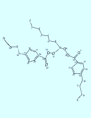 [CH2]CCCCCC[C](OOC(=O)c1ccc(CCCC)cc1)OOC(=O)c1ccc(CCCC)cc1